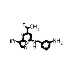 CC(C)c1cnn2c(NCc3cccc(N)c3)cc(C(C)F)nc12